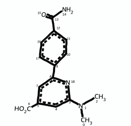 CN(C)c1cc(C(=O)O)cc(-c2ccc(C(N)=O)cc2)n1